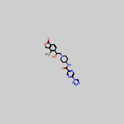 Cc1c(C(O)CN2CCC(NC(=O)c3cnc(-n4cnnn4)cn3)CC2)ccc2c1COC2=O